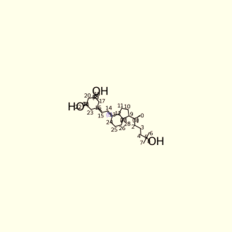 C[C@@H](CCCC(C)(C)O)C1CCC2/C(=C/C=C3C[C@@H](O)C[C@H](O)C3)CCC[C@@]21C